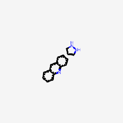 C1=CNNC1.c1ccc2nc3ccccc3cc2c1